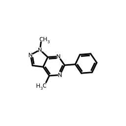 Cc1nc(-c2ccccc2)nc2c1cnn2C